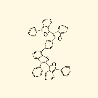 c1ccc(-c2oc(-c3sc4c(-c5ccc(-c6oc7ccccc7c6-c6oc(-c7ccccc7)c7ccccc67)cc5)cccc4c3-c3ccccc3)c3ccccc23)cc1